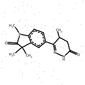 CC1CC(=O)NN=C1c1ccc2c(c1)C(C)(C)C(=O)N2C